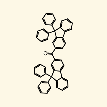 O=C(c1ccc2c(c1)C(c1ccccc1)(c1ccccc1)c1ccccc1-2)c1ccc2c(c1)C(c1ccccc1)(c1ccccc1)c1ccccc1-2